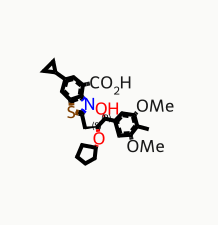 COc1cc([C@@H](O)[C@H](Cc2nc3c(C(=O)O)cc(C4CC4)cc3s2)OC2CCCC2)cc(OC)c1C